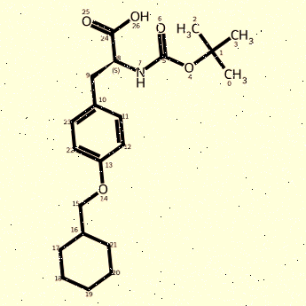 CC(C)(C)OC(=O)N[C@@H](Cc1ccc(OCC2CCCCC2)cc1)C(=O)O